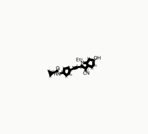 CCn1c(C#Cc2ccc(NC(=O)C3CC3)cc2)c(C#N)c2ccc(O)cc21